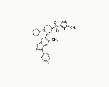 Cc1cc2c(cnn2-c2ccc(F)cc2)cc1[C@@H]1CN(S(=O)(=O)c2cnn(C)n2)CCN1C1CCCC1